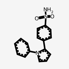 NS(=O)(=O)c1ccc(-c2cccn2-c2ccccc2)cc1